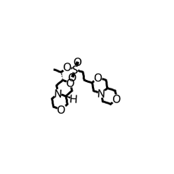 CC(OS(=O)(=O)CCC1CN2CCOCC2CO1)[C@H]1CN2CCOC[C@H]2CO1